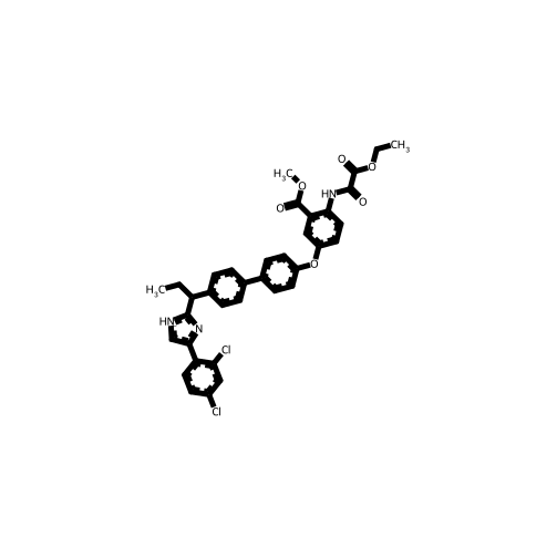 CCOC(=O)C(=O)Nc1ccc(Oc2ccc(-c3ccc(C(CC)c4nc(-c5ccc(Cl)cc5Cl)c[nH]4)cc3)cc2)cc1C(=O)OC